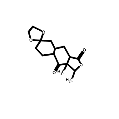 CC1OC(=O)C2CC3CC4(CCC3C(=O)C12C)OCCO4